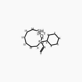 C=C[Si]1(C2CCCCC2)CCCCCC[SiH2]O1